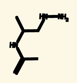 C=C(C)NC(C)CNN